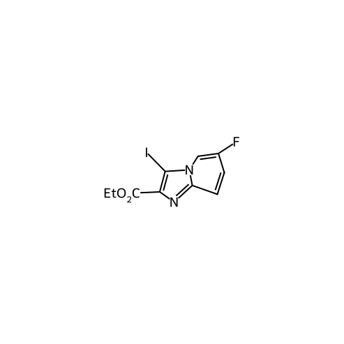 CCOC(=O)c1nc2ccc(F)cn2c1I